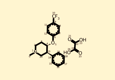 CN1CC[C@H](Oc2ccc(C(F)(F)F)cc2)[C@@H](c2ccccc2)C1.O=C(O)C(=O)O